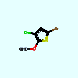 O=COc1sc(Br)cc1Cl